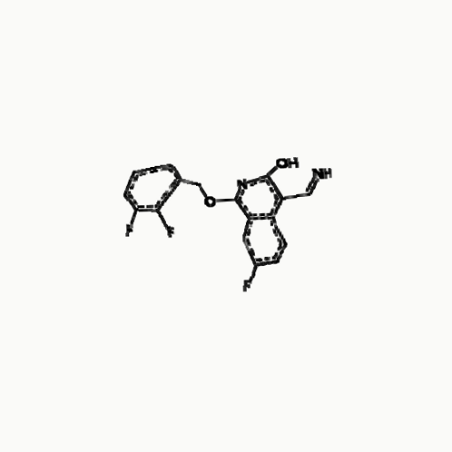 N=Cc1c(O)nc(OCc2cccc(F)c2F)c2cc(F)ccc12